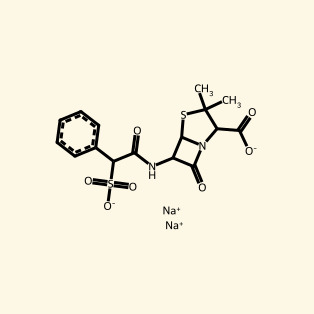 CC1(C)SC2C(NC(=O)C(c3ccccc3)S(=O)(=O)[O-])C(=O)N2C1C(=O)[O-].[Na+].[Na+]